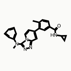 Cc1ccc(C(=O)NC2CC2)cc1-c1ccn2c(N(C)c3ccccc3)nnc2c1